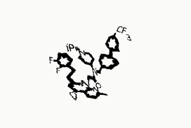 Cc1ccc2c(=O)cc(CCc3cccc(F)c3F)n(CC(=O)N(Cc3ccc(-c4ccc(C(F)(F)F)cc4)cc3)C3CCN(C(C)C)CC3)c2n1